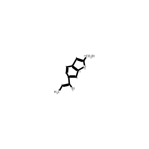 C/C=C(\CC)c1ccc2cc(C(=O)OCC)oc2c1